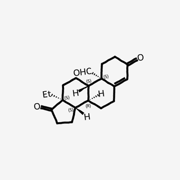 CC[C@]12CC[C@H]3[C@@H](CCC4=CC(=O)CC[C@@]43C=O)[C@@H]1CCC2=O